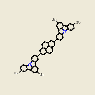 CC(C)(C)c1ccc2c(c1)c1cc(C(C)(C)C)cc3c4cc(-c5cc6ccc7cc(-c8ccc9c(c8)c8cc(C(C)(C)C)cc%10c%11cc(C(C)(C)C)ccc%11n9c8%10)cc8ccc(c5)c6c78)ccc4n2c31